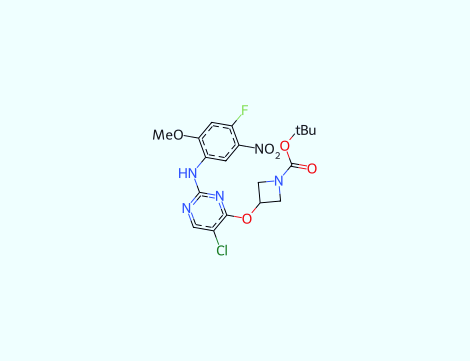 COc1cc(F)c([N+](=O)[O-])cc1Nc1ncc(Cl)c(OC2CN(C(=O)OC(C)(C)C)C2)n1